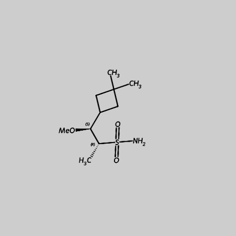 CO[C@@H](C1CC(C)(C)C1)[C@@H](C)S(N)(=O)=O